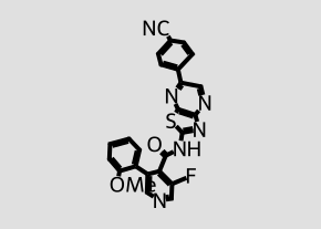 COc1ccccc1-c1cncc(F)c1C(=O)Nc1nc2ncc(-c3ccc(C#N)cc3)nc2s1